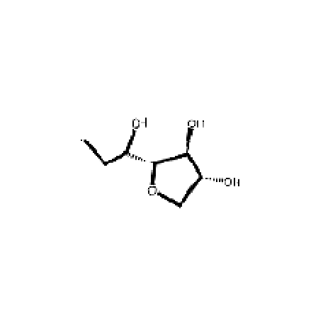 [CH2]CC(O)[C@H]1OC[C@@H](O)[C@@H]1O